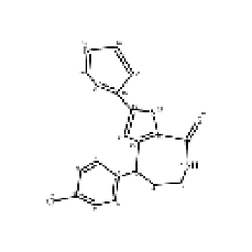 S=C1NCCC(c2ccc(Cl)cc2)c2cc(-c3ccncc3)sc21